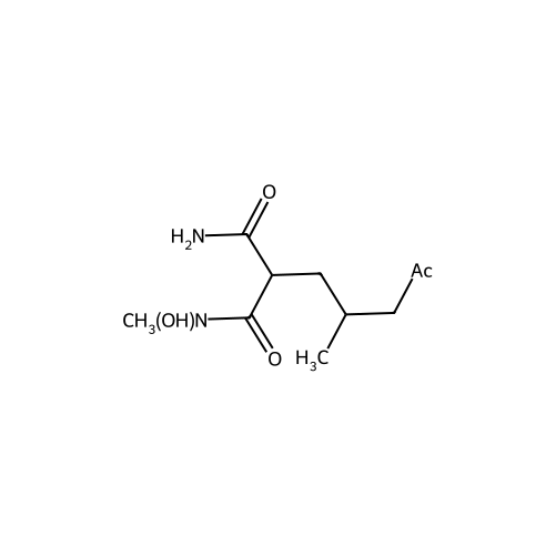 CC(=O)CC(C)CC(C(N)=O)C(=O)N(C)O